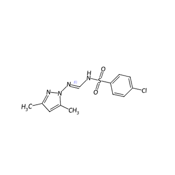 Cc1cc(C)n(/N=C/NS(=O)(=O)c2ccc(Cl)cc2)n1